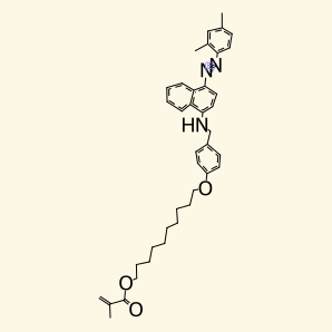 C=C(C)C(=O)OCCCCCCCCCCOc1ccc(CNc2ccc(/N=N/c3ccc(C)cc3C)c3ccccc23)cc1